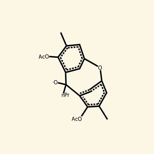 CCCC1([O])c2cc(cc(C)c2OC(C)=O)Oc2cc(C)c(OC(C)=O)c1c2